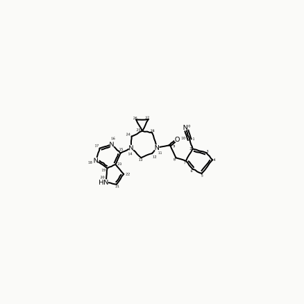 N#Cc1ccccc1CC(=O)N1CCN(c2ncnc3[nH]ccc23)CC2(CC2)C1